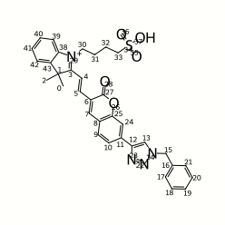 CC1(C)C(/C=C/c2cc3ccc(-c4cn(Cc5ccccc5)nn4)cc3oc2=O)=[N+](CCCCS(=O)(=O)O)c2ccccc21